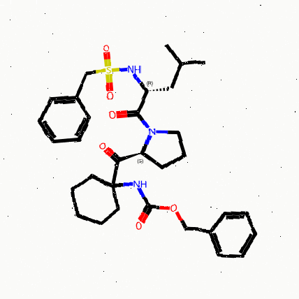 CC(C)C[C@@H](NS(=O)(=O)Cc1ccccc1)C(=O)N1CCC[C@H]1C(=O)C1(NC(=O)OCc2ccccc2)CC[CH]CC1